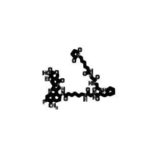 CC[C@@]1(O)C(=O)OCc2c1cc1n(c2=O)Cc2c-1nc1cc(F)c(C)c3c1c2[C@@H](NC(=O)CCCCCNC(=O)CNC(=O)C(Cc1ccccc1)NC(=O)CNC(=O)CNC(=O)CCCCCN1C(=O)C=CC1=O)CC3